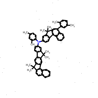 Cc1ccc(N(c2ccc3c(c2)C(C)(C)c2cc4c(cc2-3)C(C)(C)c2ccc3ccccc3c2-4)c2ccc3c(c2)C(C)(C)c2cc(-c4cc(C)ccc4C)c4ccccc4c2-3)c(C)c1